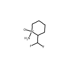 N[N+]1([O-])CCCCC1C(F)F